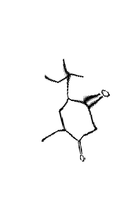 CC1CC(C(C)(C)C)C(=O)CC1=O